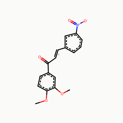 COc1ccc(C(=O)/C=C/c2cccc([N+](=O)[O-])c2)cc1OC